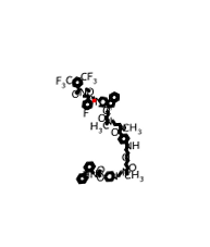 CN(CCN1CCC(OC(=O)Nc2ccccc2-c2ccccc2)CC1)C(=O)CCOCCNc1ccc(C(=O)N(C)CCCN(C)C(=O)CO[C@H]2Cc3ccccc3C23CCN(CC[C@]2(c4ccc(F)cc4)CN(C(=O)c4cc(C(F)(F)F)cc(C(F)(F)F)c4)CO2)CC3)cc1